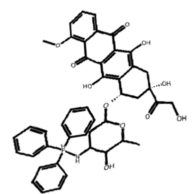 COc1cccc2c1C(=O)c1c(O)c3c(c(O)c1C2=O)C[C@@](O)(C(=O)CO)C[C@@H]3OC1CC(N[PH](c2ccccc2)(c2ccccc2)c2ccccc2)C(O)C(C)O1